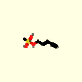 C#CC=CCOS(C)(=O)=O